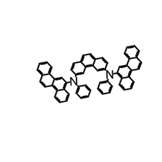 c1ccc(N(c2ccc3ccc4ccc(N(c5ccccc5)c5cc6c7ccccc7ccc6c6ccccc56)cc4c3c2)c2cc3c4ccccc4ccc3c3ccccc23)cc1